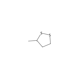 C[C]1CCSS1